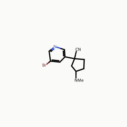 CNC1CCC(C#N)(c2cncc(Br)c2)C1